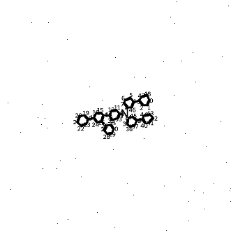 c1ccc(-c2cccc(N(c3ccc(-c4ccc(-c5ccccc5)cc4-c4ccccc4)cc3)c3cccc(-c4ccccc4)c3)c2)cc1